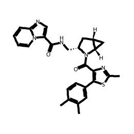 Cc1nc(C(=O)N2[C@H](CNC(=O)c3cnc4ccccn34)C[C@@H]3C[C@@H]32)c(-c2ccc(C)c(C)c2)s1